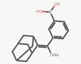 COC(=C1C2CC3CC(C2)CC1C3)c1cccc(B(O)O)c1